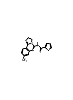 O=C(NC1=Nc2cc(C(F)(F)F)ccc2C2=NCCN12)c1cccs1